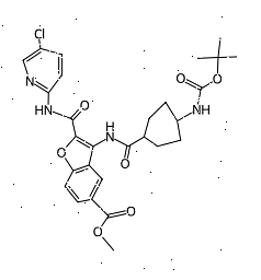 COC(=O)c1ccc2oc(C(=O)Nc3ccc(Cl)cn3)c(NC(=O)C3CCC(NC(=O)OC(C)(C)C)CC3)c2c1